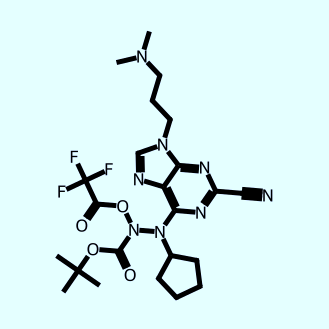 CN(C)CCCn1cnc2c(N(C3CCCC3)N(OC(=O)C(F)(F)F)C(=O)OC(C)(C)C)nc(C#N)nc21